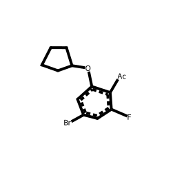 CC(=O)c1c(F)cc(Br)cc1OC1CCCC1